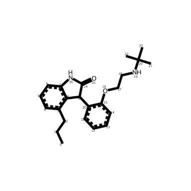 CCCc1cccc2c1C(c1ccccc1OCCNC(C)(C)C)C(=O)N2